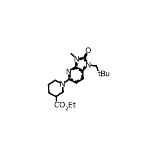 CCOC(=O)C1CCCN(c2ccc3c(n2)n(C)c(=O)n3CC(C)(C)C)C1